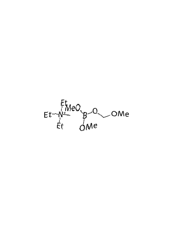 CC[N+](C)(CC)CC.COCOB(OC)OC